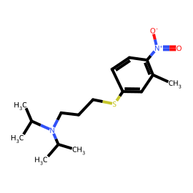 Cc1cc(SCCCN(C(C)C)C(C)C)ccc1[N+](=O)[O-]